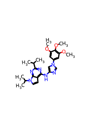 COc1cc(-n2cnc(Nc3nc(C(C)C)nc4c3ccn4C(C)C)c2)cc(OC)c1OC